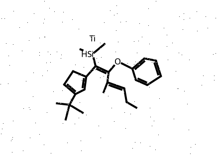 CCC=C(C)C(Oc1ccccc1)=C(C1=CC(C(C)(C)C)=CC1)[SiH](C)C.[Ti]